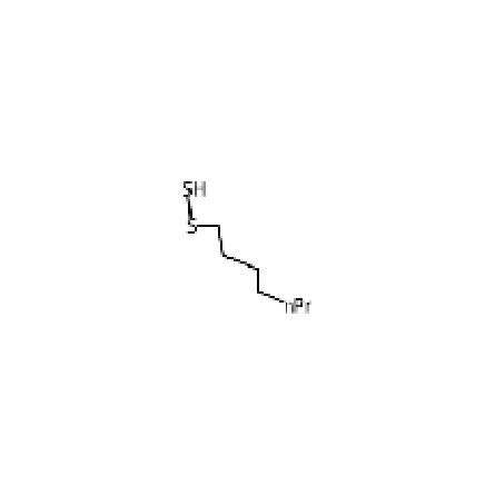 CCCCCCCSS